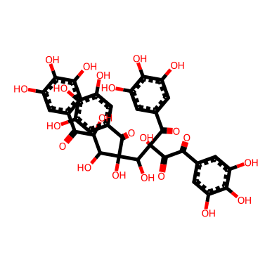 O=C(C(=O)C(O)(C(=O)c1cc(O)c(O)c(O)c1)C(O)C(O)(C(=O)c1cc(O)c(O)c(O)c1)C(O)C(O)C(=O)c1cc(O)c(O)c(O)c1)c1cc(O)c(O)c(O)c1